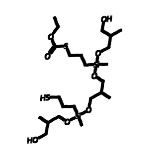 CCOC(=O)SCCC[Si](C)(OCC(C)CO)OCC(C)CO[Si](C)(CCCS)OCC(C)CO